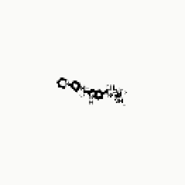 C=C(N)N/N=C(\C)c1ccc2[nH]c(C(=O)Nc3ccc(N4CCCCC4)cc3)cc2c1